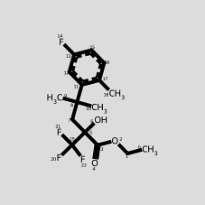 CCOC(=O)C(O)(CC(C)(C)c1cc(F)ccc1C)C(F)(F)F